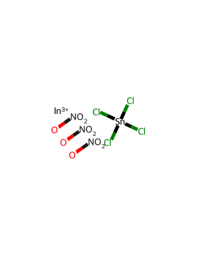 O=[N+]([O-])[O-].O=[N+]([O-])[O-].O=[N+]([O-])[O-].[Cl][Sn]([Cl])([Cl])[Cl].[In+3]